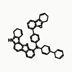 C1=CCC(C2=CCC(N(c3ccc(-c4cccc5c6c(oc45)CCC=C6)cc3)c3cccc4c3sc3c4ccc4[nH]c5c(c43)C=CCC5)C=C2)C=C1